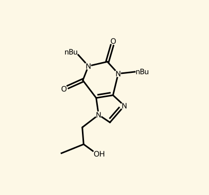 CCCCn1c(=O)c2c(ncn2CC(C)O)n(CCCC)c1=O